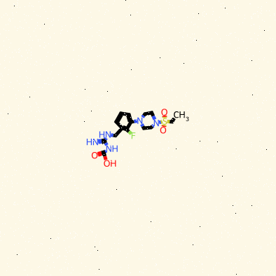 CCS(=O)(=O)N1CCN(c2cccc(CNC(=N)NC(=O)O)c2F)CC1